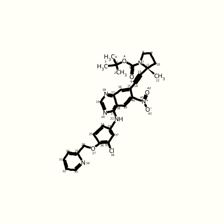 CC(C)(C)OC(=O)N1CCC[C@]1(C)C#Cc1cc2ncnc(Nc3ccc(OCc4ccccn4)c(Cl)c3)c2cc1[N+](=O)[O-]